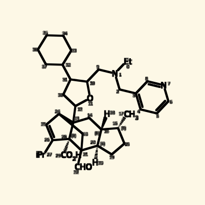 CCN(Cc1cccnc1)CC1OC(C23C[C@@H]4[C@H](C)CC[C@H]4C4(C=O)CC2C=C(C(C)C)[C@@]34C(=O)O)CC1C1CCCCC1